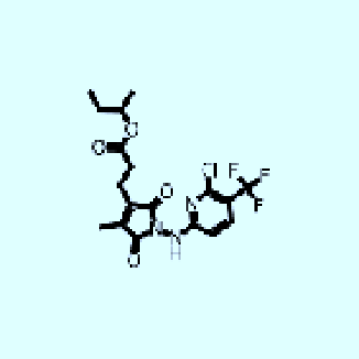 CCC(C)OC(=O)CCC1=C(C)C(=O)N(Nc2ccc(C(F)(F)F)c(Cl)n2)C1=O